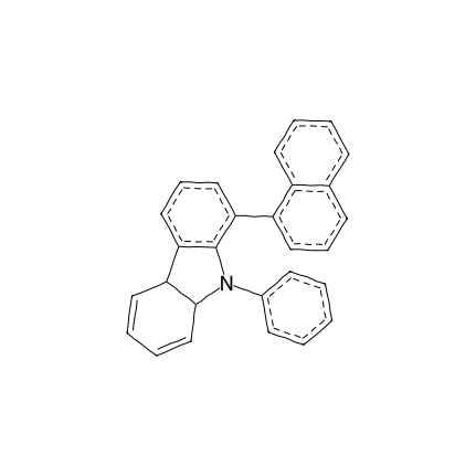 C1=CC2c3cccc(-c4cccc5ccccc45)c3N(c3ccccc3)C2C=C1